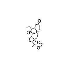 CCC1C(=O)C2C(CC[C@@]3(C)C2CC[C@@H]3[C@H](C)C2OCCO2)[C@@]2(C)CCC(=O)CC12